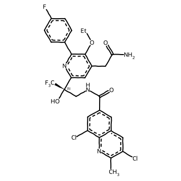 CCOc1c(CC(N)=O)cc([C@@](O)(CNC(=O)c2cc(Cl)c3nc(C)c(Cl)cc3c2)C(F)(F)F)nc1-c1ccc(F)cc1